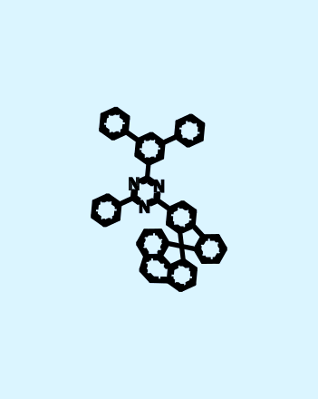 c1ccc(-c2cc(-c3ccccc3)cc(-c3nc(-c4ccccc4)nc(-c4ccc5c(c4)C4(c6ccccc6-5)c5cccc6ccc7cccc4c7c56)n3)c2)cc1